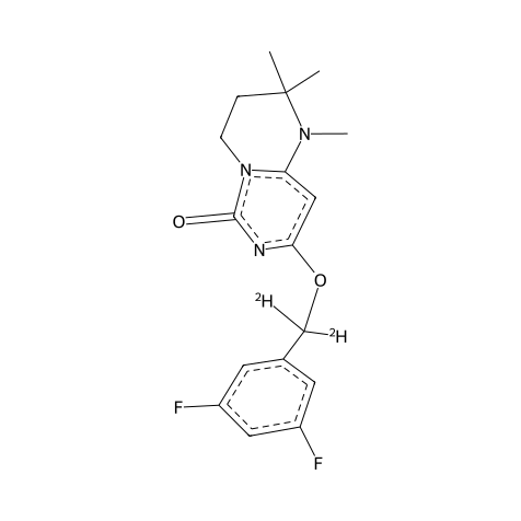 [2H]C([2H])(Oc1cc2n(c(=O)n1)CCC(C)(C)N2C)c1cc(F)cc(F)c1